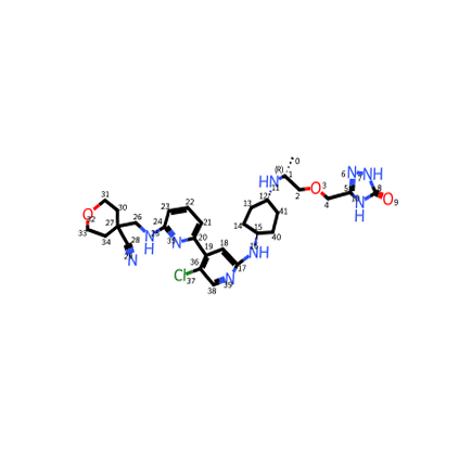 C[C@H](COCc1n[nH]c(=O)[nH]1)N[C@H]1CC[C@H](Nc2cc(-c3cccc(NCC4(C#N)CCOCC4)n3)c(Cl)cn2)CC1